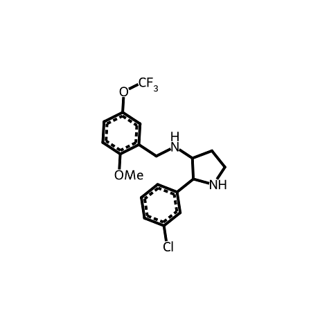 COc1ccc(OC(F)(F)F)cc1CNC1CCNC1c1cccc(Cl)c1